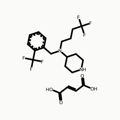 FC(F)(F)CCCN(Cc1ccccc1C(F)(F)F)C1CCNCC1.O=C(O)/C=C/C(=O)O